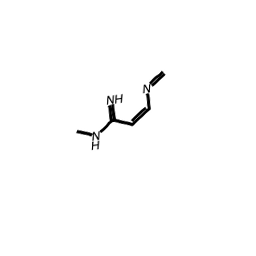 C=N/C=C\C(=N)NC